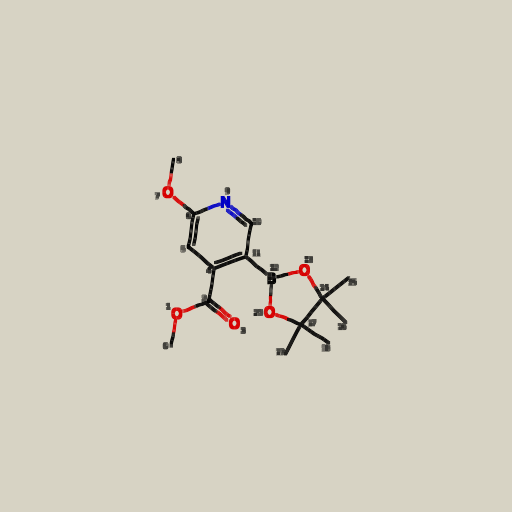 COC(=O)c1cc(OC)ncc1B1OC(C)(C)C(C)(C)O1